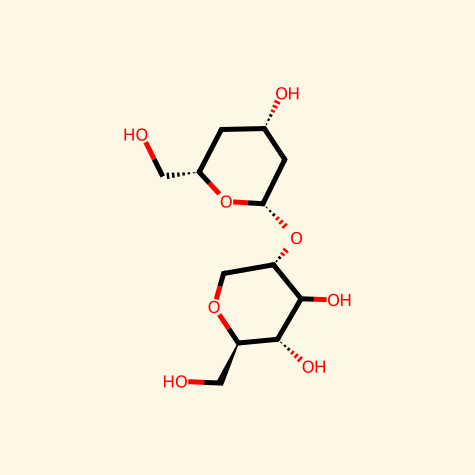 OC[C@@H]1C[C@H](O)C[C@H](O[C@H]2CO[C@H](CO)[C@@H](O)C2O)O1